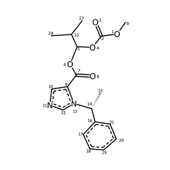 COC(=O)OC(OC(=O)c1cncn1[C@H](C)c1ccccc1)C(C)C